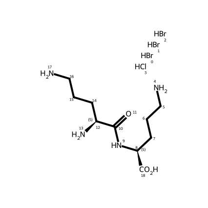 Br.Br.Br.Cl.NCCC[C@H](NC(=O)[C@@H](N)CCCN)C(=O)O